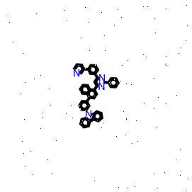 c1ccc(-c2nc(-c3cccc(-c4cccnc4)c3)cc(-c3ccc(-c4cccc(-n5c6ccccc6c6ccccc65)c4)c4ccccc34)n2)cc1